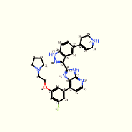 Fc1cc(OCCN2CCCC2)cc(-c2ccnc3[nH]c(-c4n[nH]c5ccc(C6=CCNCC6)cc45)nc23)c1